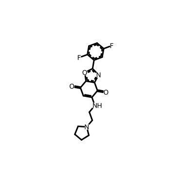 O=C1C(NCCN2CCCC2)=CC(=O)c2oc(-c3cc(F)ccc3F)nc21